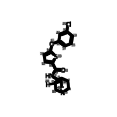 O=C(N[C@H]1CN2CCC1CC2)c1ccc(Oc2cccc(Cl)c2)s1